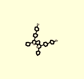 Brc1ccc(-c2ccc(-c3cc(-c4ccccc4)nc4c3ccc3c(-c5ccc(-c6ccc(Br)cc6)cc5)cc(-c5ccccc5)nc34)cc2)cc1